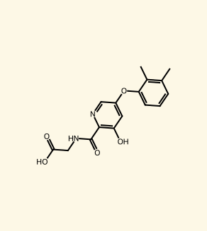 Cc1cccc(Oc2cnc(C(=O)NCC(=O)O)c(O)c2)c1C